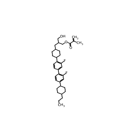 C=C(C)C(=O)OCC(CO)CC1CCC(c2ccc(-c3ccc(C4CCC(CCC)CC4)cc3F)cc2F)CC1